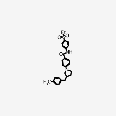 CCS(=O)(=O)c1ccc(NC(=O)c2ccc(N3CCC(Cc4ccc(C(F)(F)F)cc4)C3)cc2)cc1